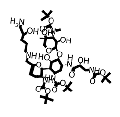 CN(C(=O)OC(C)(C)C)[C@@H]1[C@@H](O)[C@@H](O[C@@H]2[C@@H](O)[C@H](C3OC(CNCCCC(O)CN)=CC[C@H]3NC(=O)OC(C)(C)C)[C@@H](NC(=O)OC(C)(C)C)C[C@H]2NC(=O)[C@@H](O)CNC(=O)OC(C)(C)C)OC[C@]1(C)O